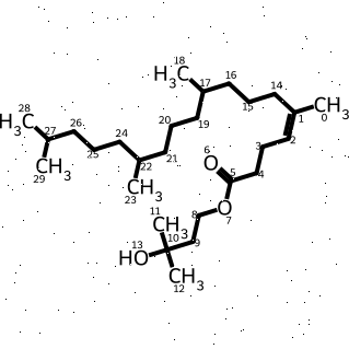 CC(=CCCC(=O)OCCC(C)(C)O)CCCC(C)CCCC(C)CCCC(C)C